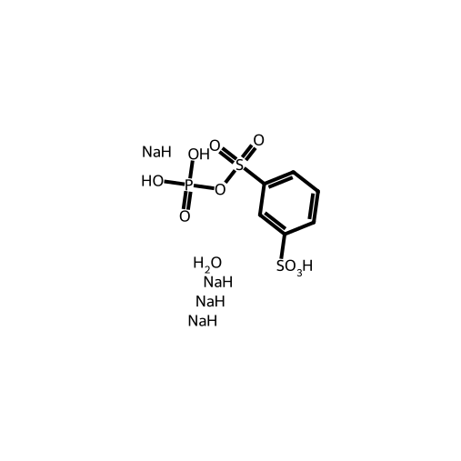 O.O=P(O)(O)OS(=O)(=O)c1cccc(S(=O)(=O)O)c1.[NaH].[NaH].[NaH].[NaH]